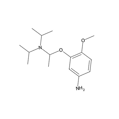 COc1ccc(N)cc1OC(C)N(C(C)C)C(C)C